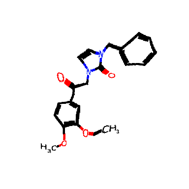 COc1ccc(C(=O)Cn2ccn(Cc3ccccc3)c2=O)cc1OC